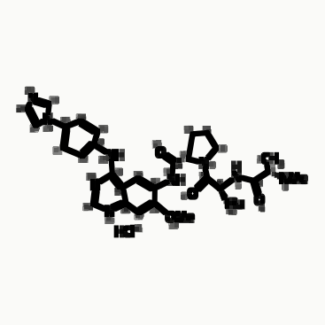 CN[C@@H](C)C(=O)N[C@H](C(=O)N1CCC[C@H]1C(=O)Nc1cc2c(Nc3ccc(-n4ccnc4)cc3)ncnc2cc1OC)C(C)(C)C.Cl